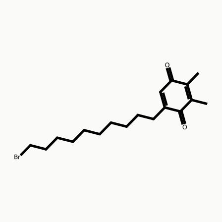 CC1=C(C)C(=O)C(CCCCCCCCCCBr)=CC1=O